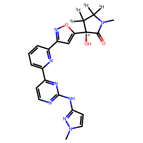 [2H]C1([2H])N(C)C(=O)[C@](O)(c2cc(-c3cccc(-c4ccnc(Nc5ccn(C)n5)n4)n3)no2)C1([2H])[2H]